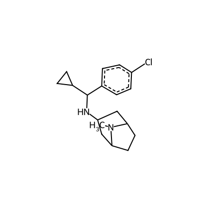 CN1C2CCC1CC(NC(c1ccc(Cl)cc1)C1CC1)C2